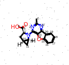 Cc1nc(N2[C@H](C(=O)O)C[C@@H]3C[C@@H]32)c2oc3ccccc3c2n1